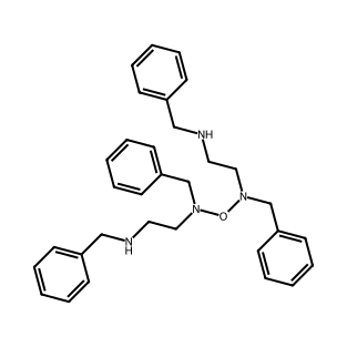 c1ccc(CNCCN(Cc2ccccc2)ON(CCNCc2ccccc2)Cc2ccccc2)cc1